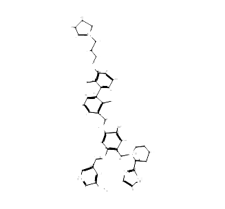 Cc1c(COc2cc(OCc3cncc(C#N)c3)c(CN3CCCCC3c3ncc[nH]3)cc2Cl)cccc1-c1cccc(OCCCN2CCCC2)c1C